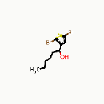 CCCCCC(O)c1cc(Br)sc1Br